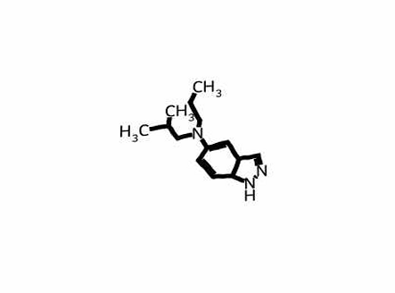 CCCN(CC(C)C)C1=CC2C=NNC2C=C1